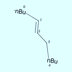 CCC[CH]C=CCCCCC